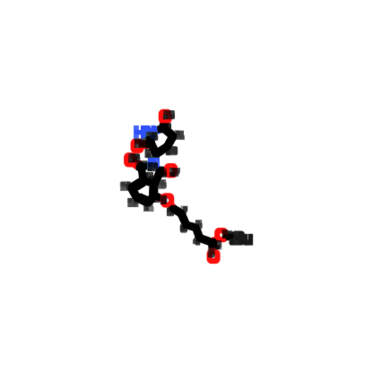 CC(C)(C)OC(=O)CCCCCOc1cccc2c1C(=O)N(C1CCC(=O)NC1=O)C2=O